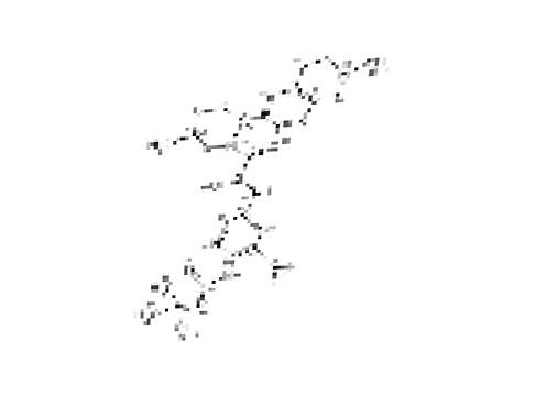 C[C@H]1CC[C@H](c2ccc3c(c2)CCN(C)C3)N(C(=O)C(=O)Nc2cnc(NC(=O)OC(C)(C)C)c(C3CC3)c2)C1